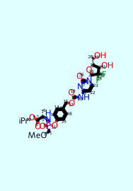 COCP(=O)(N[C@@H](C)C(=O)OC(C)C)Oc1ccc(COC(=O)Nc2ccn([C@@H]3O[C@H](CO)[C@H](O)C3(F)F)c(=O)n2)cc1